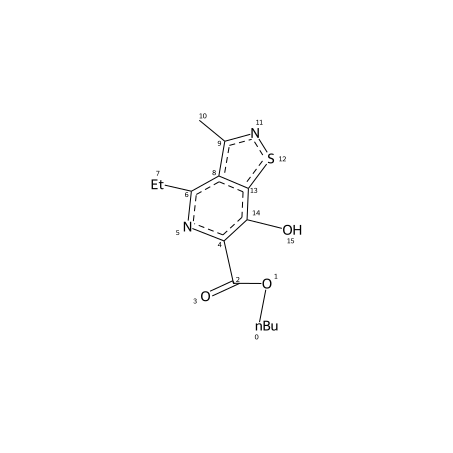 CCCCOC(=O)c1nc(CC)c2c(C)nsc2c1O